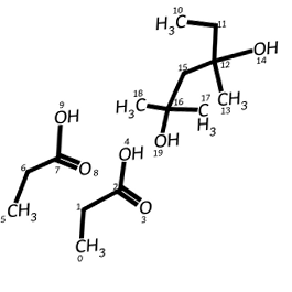 CCC(=O)O.CCC(=O)O.CCC(C)(O)CC(C)(C)O